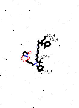 C=C(/C=C/C=C/C=C/C=C1/N(CCCC(=O)ON2C(=O)CCC2=O)c2ccc(S(=O)(=O)O)cc2C1(C)CCOC)C(C)(CCCS(=O)(=O)O)c1cc(S(=O)(=O)O)ccc1C